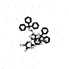 CCc1cn([C@@H]2O[C@H](COC(c3ccccc3)(c3ccccc3)c3ccccc3)[C@@H](OC(c3ccccc3)(c3ccccc3)c3ccccc3)[C@H]2OS(C)(=O)=O)c(=O)[nH]c1=O